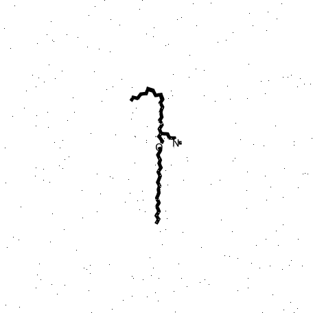 CCCCC/C=C\C/C=C\CCCCCCCC([CH]COCCCCCCCCCCCCCCCCCC)CCCN(C)C